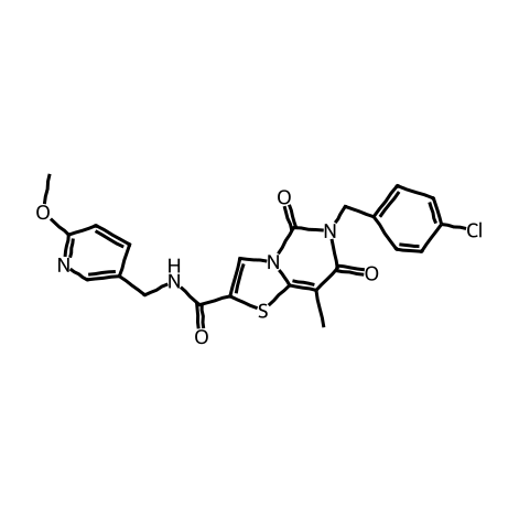 COc1ccc(CNC(=O)c2cn3c(=O)n(Cc4ccc(Cl)cc4)c(=O)c(C)c3s2)cn1